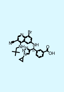 CC(C)(C)CNc1c(C#N)cnc2c(Br)cc(N[C@@H](c3cccc(C(=O)O)c3)c3cn(C4CC4)nn3)cc12